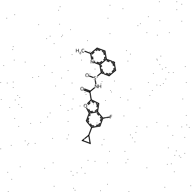 Cc1ccc2cccc([S+]([O-])NC(=O)c3cc4c(F)cc(C5CC5)cc4o3)c2n1